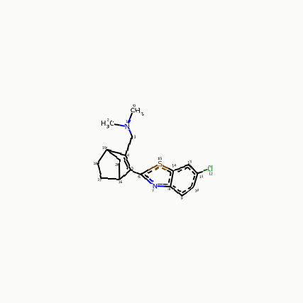 CN(C)CC1=C(c2nc3ccc(Cl)cc3s2)C2CCC1C2